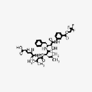 CC(C)C[C@H](NC(=O)[C@@H](NC(=O)[C@@H](N)CCC(=O)O)C(C)C)C(=O)N[C@@H](Cc1ccccc1)[C@@H](O)C(=O)Nc1cccc(C(=O)OCC(F)(F)F)c1